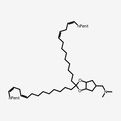 CCCCC/C=C\C/C=C\CCCCCCCCC1(CCCCCCCC/C=C\C/C=C\CCCCC)OC2CC(CN(C)C)CC2O1